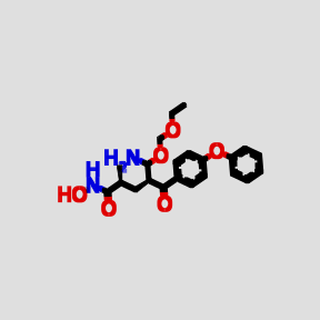 CCOCOC(N)[C@H](C[C@H](C)C(=O)NO)C(=O)c1ccc(Oc2ccccc2)cc1